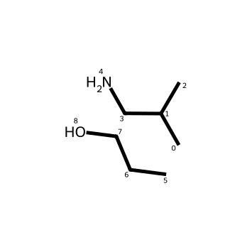 CC(C)CN.CCCO